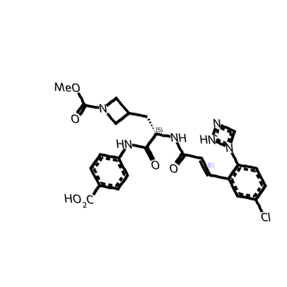 COC(=O)N1CC(C[C@H](NC(=O)/C=C/c2cc(Cl)ccc2-n2cn[nH]2)C(=O)Nc2ccc(C(=O)O)cc2)C1